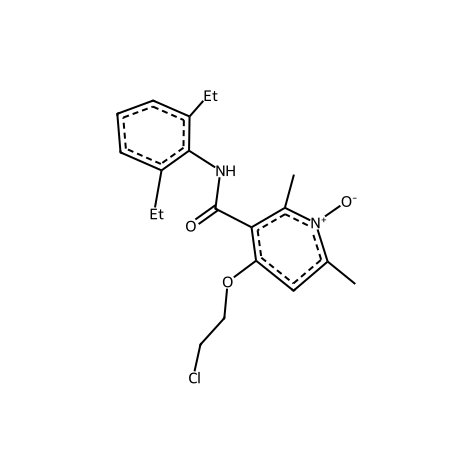 CCc1cccc(CC)c1NC(=O)c1c(OCCCl)cc(C)[n+]([O-])c1C